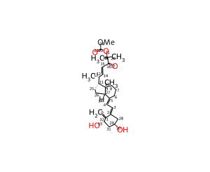 C=C1/C(=C\C=C2/CCC[C@]3(C)[C@@H]([C@H](C)/C=C/C(=O)C(C)(C)OC(=O)OC)CC[C@@H]23)C[C@@H](O)C[C@@H]1O